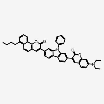 CCCCc1cccc2c1ccc1cc(-c3ccc4c5ccc(-c6cc7ccc(N(CC)CC)cc7oc6=O)cc5n(-c5ccccc5)c4c3)c(=O)oc12